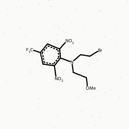 COCCN(CCBr)c1c([N+](=O)[O-])cc(C(F)(F)F)cc1[N+](=O)[O-]